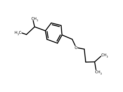 CCC(C)c1ccc(COCCC(C)C)cc1